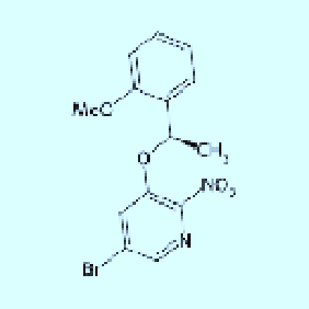 COc1ccccc1[C@@H](C)Oc1cc(Br)cnc1[N+](=O)[O-]